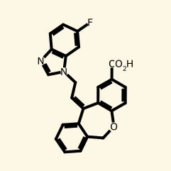 O=C(O)c1ccc2c(c1)C(=CCn1cnc3ccc(F)cc31)c1ccccc1CO2